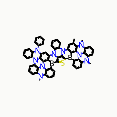 Cc1cc2c3c4c1N(C)c1cccc5c1N4c1c(cccc1N5C)B3c1sc3c4c1N2c1ccccc1N4c1cc(N(c2ccccc2)c2ccccc2)c2c4c1B3c1cccc3c1N4c1c(cccc1N2C)N3C